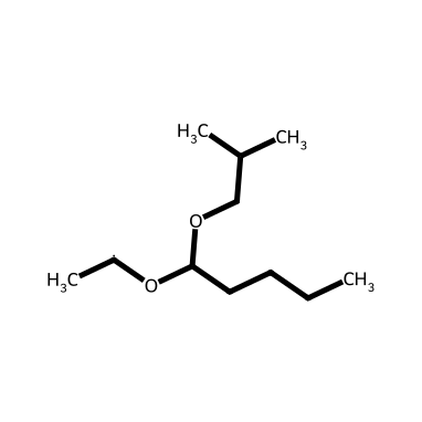 C[CH]OC(CCCC)OCC(C)C